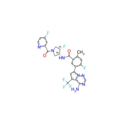 Cc1cc(F)c(-c2cc(C(F)(F)F)c3c(N)ncnn23)cc1C(=O)N[C@@H]1CN(C(=O)c2cc(F)ccn2)C[C@@H]1F